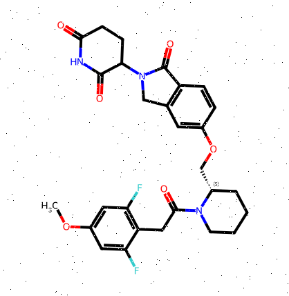 COc1cc(F)c(CC(=O)N2CCCC[C@H]2COc2ccc3c(c2)CN(C2CCC(=O)NC2=O)C3=O)c(F)c1